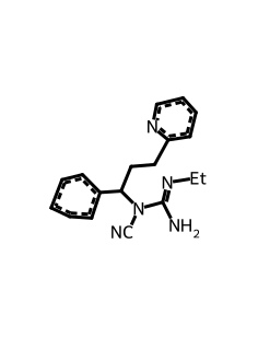 CCN=C(N)N(C#N)C(CCc1ccccn1)c1ccccc1